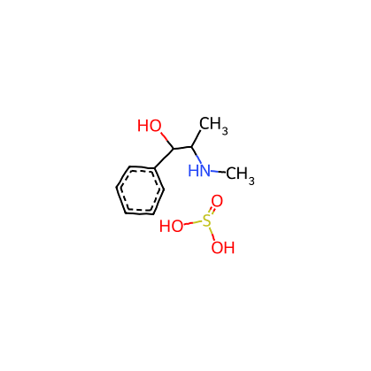 CNC(C)C(O)c1ccccc1.O=S(O)O